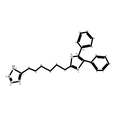 c1ccc(-c2nc(CCCCCCc3nnn[nH]3)oc2-c2ccccc2)cc1